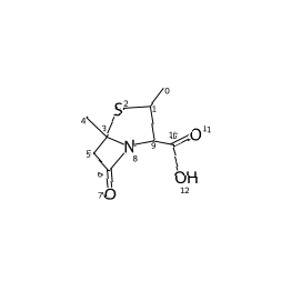 CC1SC2(C)CC(=O)N2C1C(=O)O